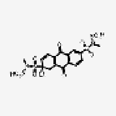 CCC1(S(=O)(=O)N(C)S(=O)(=O)O)C=CC2=C(C1)C(=O)c1ccc(S(=O)(=O)N(C)S(=O)(=O)O)cc1C2=O